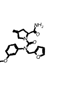 C=C1CC(C(N)=O)N(C(=O)N(Cc2ccco2)c2cccc(OC)c2)C1